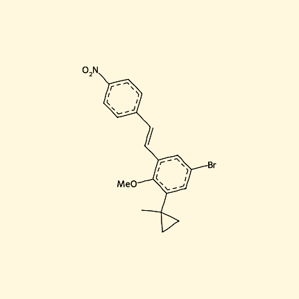 COc1c(C=Cc2ccc([N+](=O)[O-])cc2)cc(Br)cc1C1(C)CC1